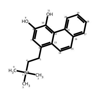 C[N+](C)(C)CCc1cc(O)c(O)c2c1ccc1ccccc12